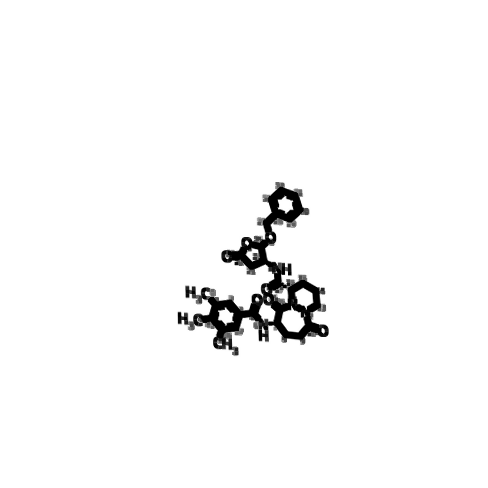 Cc1cc(C(=O)N[C@H]2CCC(=O)N3CCC[C@@H](C(=O)N[C@H]4CC(=O)OC4OCc4ccccc4)N3C2=O)cc(C)c1C